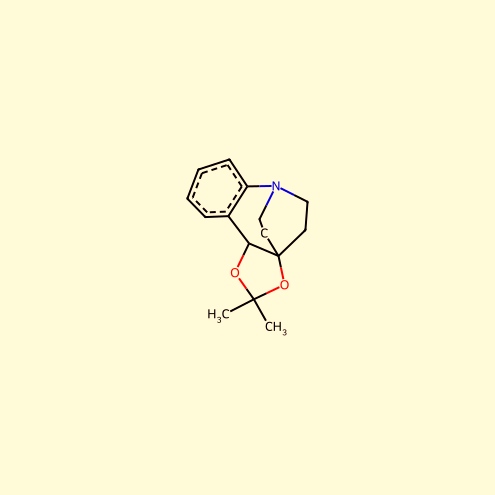 CC1(C)OC2c3ccccc3N3CCC2(CC3)O1